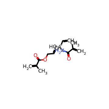 C=C(C)C(N)=O.C=CC(=O)O.C=CCOC(=O)C(=C)C